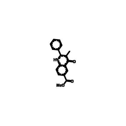 COC(=O)c1ccc2[nH]c(-c3ccccc3)c(C)c(=O)c2c1